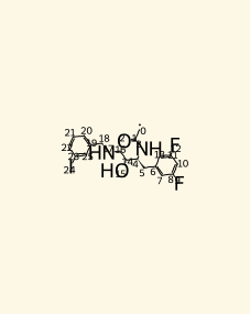 [CH2]C(=O)N[C@@H](Cc1cc(F)cc(F)c1)[C@H](O)CNCc1cccc(I)c1